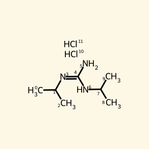 CC(C)N=C(N)NC(C)C.Cl.Cl